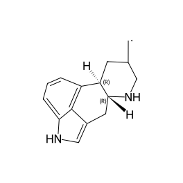 [CH2]C1CN[C@@H]2Cc3c[nH]c4cccc(c34)[C@H]2C1